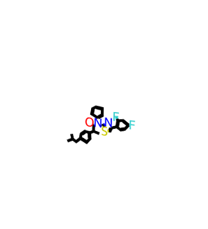 CC(C)Cc1ccc(C(C)C(=O)N(c2ccccc2)c2nc(-c3ccc(F)cc3F)cs2)cc1